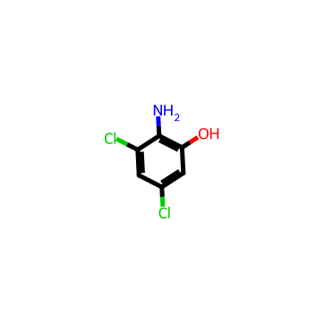 Nc1c(O)cc(Cl)cc1Cl